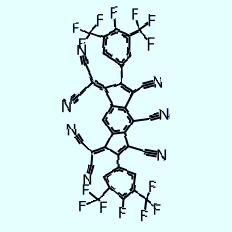 N#CC(C#N)=C1C(c2cc(C(F)(F)F)c(F)c(C(F)(F)F)c2)=C(C#N)c2c1cc1c(c2C#N)C(C#N)=C(c2cc(C(F)(F)F)c(F)c(C(F)(F)F)c2)C1=C(C#N)C#N